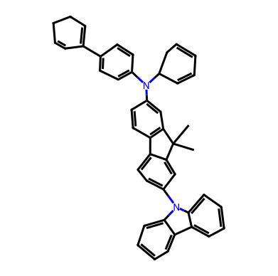 CC1(C)c2cc(N(c3ccc(C4=CCCC=C4)cc3)C3C=CC=CC3)ccc2-c2ccc(-n3c4ccccc4c4ccccc43)cc21